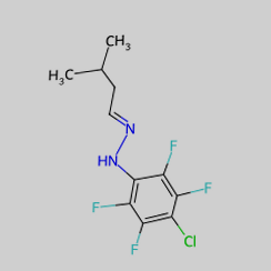 CC(C)CC=NNc1c(F)c(F)c(Cl)c(F)c1F